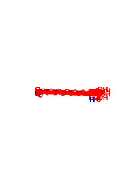 O=C(CCOCCOCCOCCOCCOCCOCCOCCOCCOCCOCCOCCOCCN1C(=O)C=CC1=O)Nc1ccc(O[C@H]2O[C@H](CCP(=O)(O)O)[C@@H](O)[C@H](O)[C@@H]2O)cc1